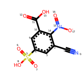 N#Cc1cc(S(=O)(=O)O)cc(C(=O)O)c1[N+](=O)[O-]